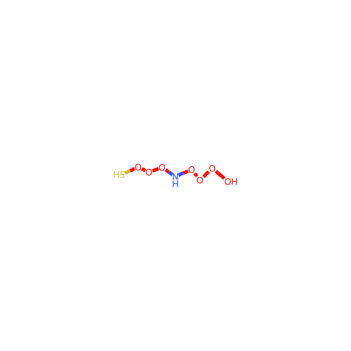 OOOONOOOS